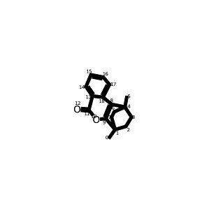 CC12CCC(C)(CC1)c1c2oc(=O)c2ccccc12